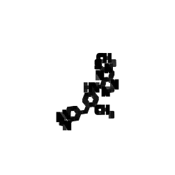 CSc1ncc2ncnc(Nc3ccc(Cc4ccn5ncnc5c4)c(C)c3)c2n1